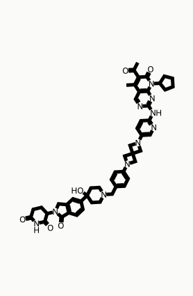 CC(=O)c1c(C)c2cnc(Nc3ccc(N4CC5(CN(c6ccc(CN7CCC(O)(c8ccc9c(c8)CN(C8CCC(=O)NC8=O)C9=O)CC7)cc6)C5)C4)cn3)nc2n(C2CCCC2)c1=O